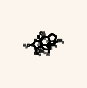 CC1CCC23CCC[C@]24N(C)O[C@H](C[C@@]2(C)C(C)N(C)O[C@H]2[C@@H]3C)C14C